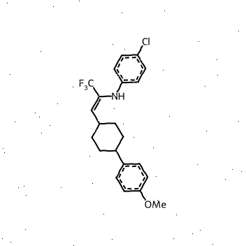 COc1ccc(C2CCC(C=C(Nc3ccc(Cl)cc3)C(F)(F)F)CC2)cc1